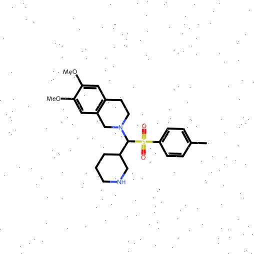 COc1cc2c(cc1OC)CN(C(C1CCCNC1)S(=O)(=O)c1ccc(C)cc1)CC2